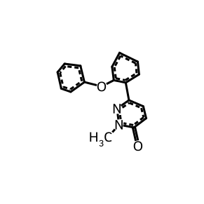 Cn1nc(-c2ccccc2Oc2ccccc2)ccc1=O